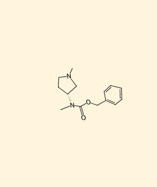 CN1CC[C@@H](N(C)C(=O)OCc2ccccc2)C1